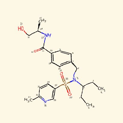 CCC(CC)N(Cc1ccc(C(=O)N[C@H](C)CO)cc1)S(=O)(=O)c1ccc(C)nc1